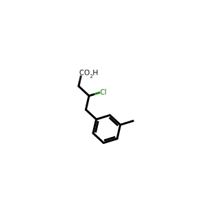 Cc1cccc(CC(Cl)CC(=O)O)c1